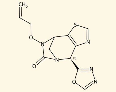 C=CCON1C(=O)N2CC1c1scnc1[C@H]2c1nnco1